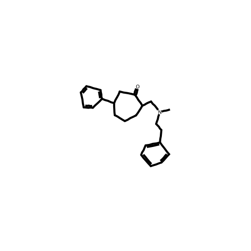 CN(CCc1ccccc1)CC1CCCC(c2ccccc2)CC1=O